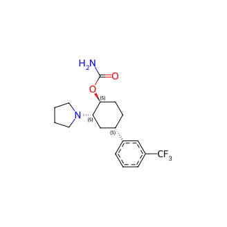 NC(=O)O[C@H]1CC[C@H](c2cccc(C(F)(F)F)c2)C[C@@H]1N1CCCC1